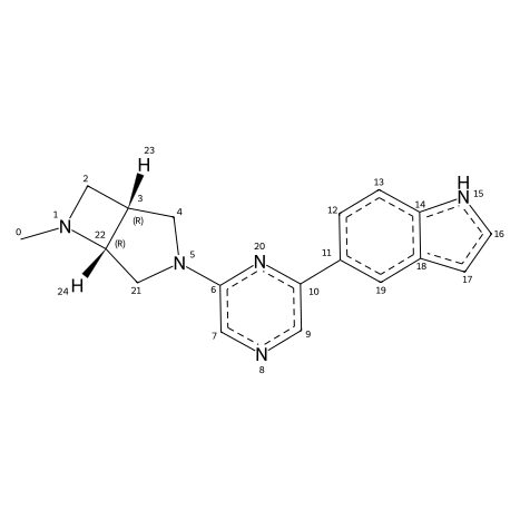 CN1C[C@@H]2CN(c3cncc(-c4ccc5[nH]ccc5c4)n3)C[C@@H]21